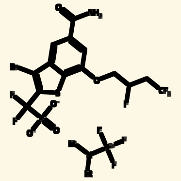 CCN(CC)[S+2](F)(F)F.NC(=O)c1cc(OCC(F)CC(F)(F)F)c2sc(C(F)(F)P(=O)([O-])[O-])c(Br)c2c1